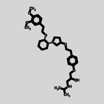 COc1ccc(CCO[C@H]2CCCC[C@H]2N2CCC(OCCc3ccc(OCC(O)CNC(C)C)cc3)C2)cc1OC